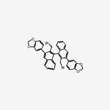 BrCc1c(-c2ccc3c(c2)OCO3)cc2ccccc2c1-c1c(CBr)c(-c2ccc3c(c2)OCO3)cc2ccccc12